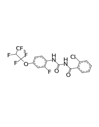 O=C(NC(=O)c1ccccc1Cl)Nc1ccc(OC(F)(F)C(F)C(F)(F)F)cc1F